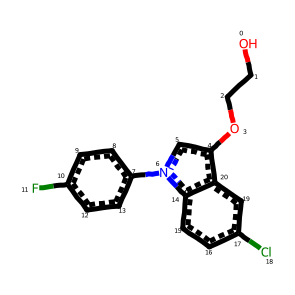 OCCOc1cn(-c2ccc(F)cc2)c2ccc(Cl)cc12